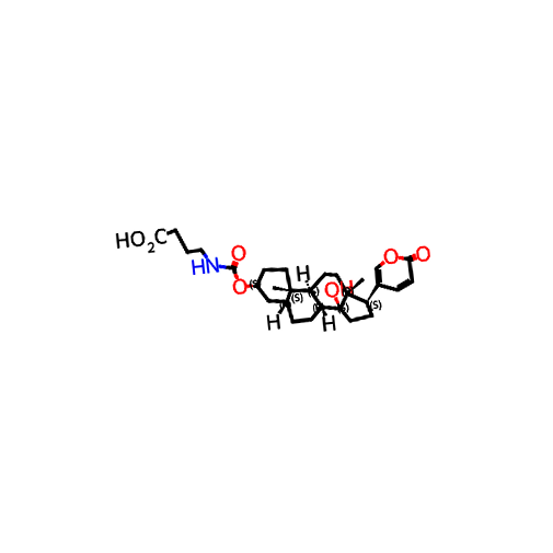 C[C@]12CC[C@H](OC(=O)NCCCC(=O)O)C[C@H]1CC[C@@H]1[C@@H]2CC[C@]2(C)[C@@H](c3ccc(=O)oc3)CC[C@]12O